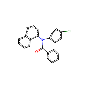 O=C(c1ccccc1)N(c1ccc(Cl)cc1)c1cc[c]c2ccccc12